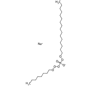 CCCCCCCCCCCCCCCCOOP(=O)([O-])OOOCCCCCCCC.[Na+]